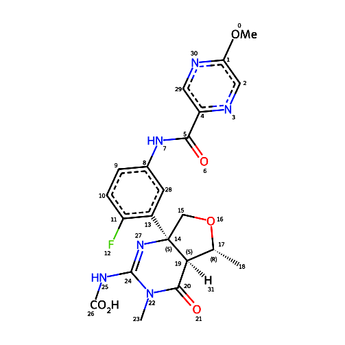 COc1cnc(C(=O)Nc2ccc(F)c([C@]34CO[C@H](C)[C@H]3C(=O)N(C)C(NC(=O)O)=N4)c2)cn1